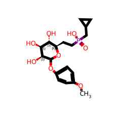 COc1ccc(OC2O[C@H](CCP(=O)(O)CC3CC3)[C@@H](O)[C@H](O)[C@@H]2O)cc1